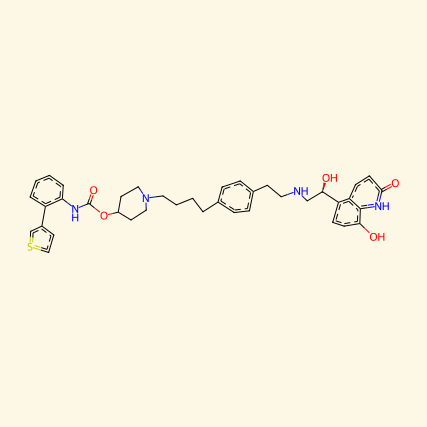 O=C(Nc1ccccc1-c1ccsc1)OC1CCN(CCCCc2ccc(CCNC[C@@H](O)c3ccc(O)c4[nH]c(=O)ccc34)cc2)CC1